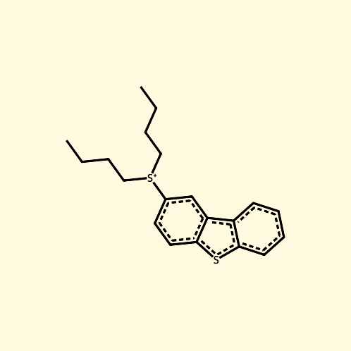 CCCC[S+](CCCC)c1ccc2sc3ccccc3c2c1